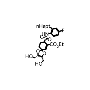 CCCCCCCc1cc(F)ccc1NS(=O)(=O)C1CCC2(C=C1C(=O)OCC)O[C@@H](CO)[C@H](CO)O2